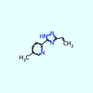 C=Cc1n[nH]c(-c2ccc(C)cn2)n1